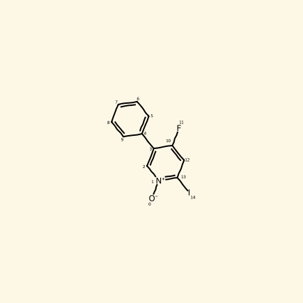 [O-][n+]1cc(-c2ccccc2)c(F)cc1I